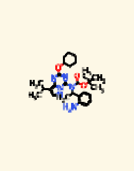 CC(C)c1cnn2c(N(C(=O)OC(C)(C)C)C(C)c3ccccc3N)nc(OC3CCCCC3)nc12